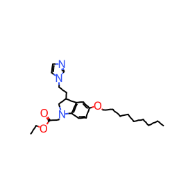 CCCCCCCCCOc1ccc2c(c1)C(CCn1ccnc1)CN2CC(=O)OCC